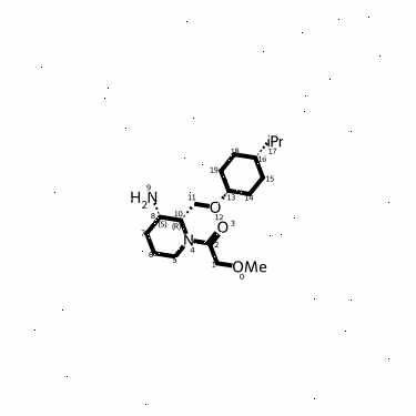 COCC(=O)N1CCC[C@H](N)[C@@H]1CO[C@H]1CC[C@@H](C(C)C)CC1